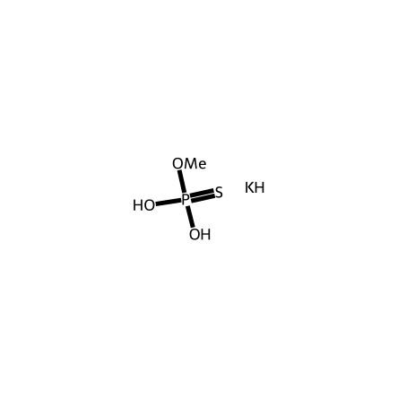 COP(O)(O)=S.[KH]